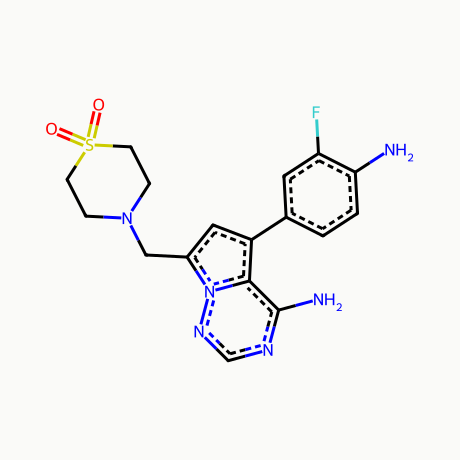 Nc1ccc(-c2cc(CN3CCS(=O)(=O)CC3)n3ncnc(N)c23)cc1F